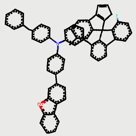 Cc1ccc2c(c1)C1(C3=C2C=CC3)c2c(F)cccc2-c2cccc(-c3cccc(N(c4ccc(-c5ccccc5)cc4)c4ccc(-c5ccc6c(c5)oc5ccccc56)cc4)c3)c21